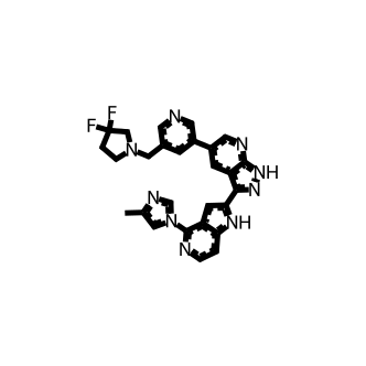 Cc1cn(-c2nccc3[nH]c(-c4n[nH]c5ncc(-c6cncc(CN7CCC(F)(F)C7)c6)cc45)cc23)cn1